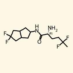 CC(F)(F)CC[C@@H](N)C(=O)NC1CC2CC(F)(F)CC2C1